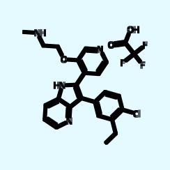 CCc1cc(-c2c(-c3ccncc3OCCNC)[nH]c3cccnc23)ccc1Cl.O=C(O)C(F)(F)F